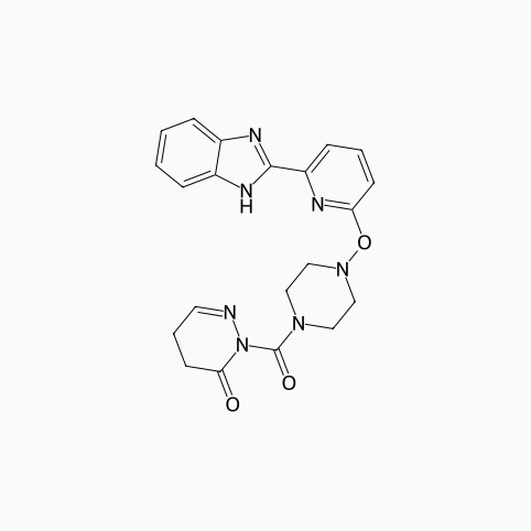 O=C1CCC=NN1C(=O)N1CCN(Oc2cccc(-c3nc4ccccc4[nH]3)n2)CC1